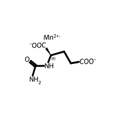 NC(=O)N[C@H](CCC(=O)[O-])C(=O)[O-].[Mn+2]